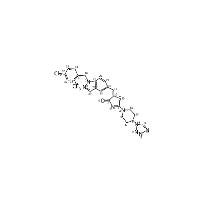 O=C1N=C(N2CCC(n3cnnn3)CC2)SC1=Cc1ccc2c(cnn2Cc2ccc(Cl)cc2C(F)(F)F)c1